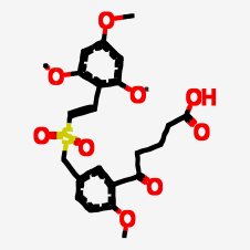 COc1cc(OC)c(C=CS(=O)(=O)Cc2ccc(OC)c(C(=O)CCCC(=O)O)c2)c(OC)c1